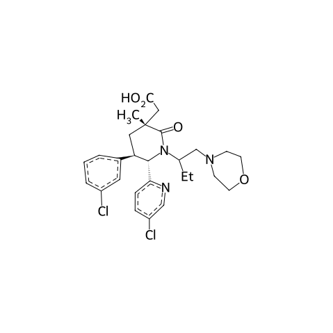 CCC(CN1CCOCC1)N1C(=O)[C@@](C)(CC(=O)O)C[C@H](c2cccc(Cl)c2)[C@H]1c1ccc(Cl)cn1